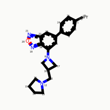 CC(C)c1ccc(-c2cc(N3CC(CN4CCCC4)C3)c3nonc3c2)cc1